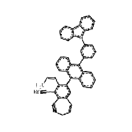 C#Cc1c2c(cc(-c3c4ccccc4c(-c4cccc(-n5c6ccccc6c6ccccc65)c4)c4ccccc34)c1/C=C\C)C=CCC#C2